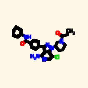 C=CC(=O)N1CCCC(n2nc(-c3ccc(C(=O)Nc4ccccc4)cc3)c3c(N)ncc(Cl)c32)C1